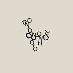 COCCOc1cc(C(=O)N[C@@H]2CCCN(C(C)C)C2)nc2c(OCCN3CCCC3=O)cccc12